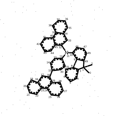 CC1(C)c2ccccc2-c2c(N(c3ccc(-c4cc5ccccc5c5ccccc45)cc3)c3cc4ccccc4c4ccccc34)cccc21